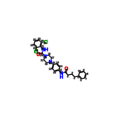 O=C(CCCc1ccccc1)Nc1ccc(N2CCN(C(=O)Nc3c(Cl)cccc3Cl)CC2)cc1